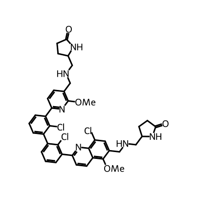 COc1nc(-c2cccc(-c3cccc(-c4ccc5c(OC)c(CNCC6CCC(=O)N6)cc(Cl)c5n4)c3Cl)c2Cl)ccc1CNCC1CCC(=O)N1